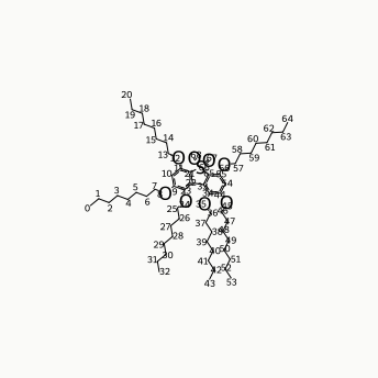 CCCCCCCCOc1cc(OCCCCCCCC)c2c(c1OCCCCCCCC)-c1c(OCCCCCCCC)c(OCCCCCCCC)cc(OCCCCCCCC)c1S2(=O)=O